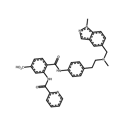 CN(CCc1ccc(NC(=O)c2ccc(C(=O)O)cc2NC(=O)c2ccccn2)cc1)Cc1ccc2c(cnn2C)c1